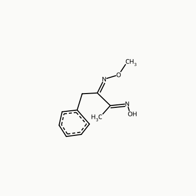 CO/N=C(Cc1ccccc1)\C(C)=N\O